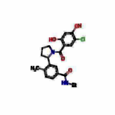 CCNC(=O)c1ccc(C)c(C2CCCN2C(=O)c2cc(Cl)c(O)cc2O)c1